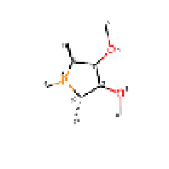 COC1C(OC)[C@H](C)P(C)[C@H]1C